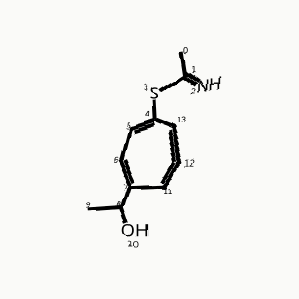 CC(=N)SC1=CC=C(C(C)O)C=C=C1